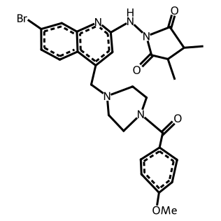 COc1ccc(C(=O)N2CCN(Cc3cc(NN4C(=O)C(C)C(C)C4=O)nc4cc(Br)ccc34)CC2)cc1